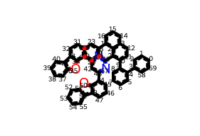 c1ccc(-c2ccccc2-c2ccc3cccc(-c4ccccc4)c3c2-c2nc(-c3cccc4c3oc3ccccc34)cc(-c3cccc4c3oc3ccccc34)n2)cc1